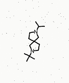 CC(C)N1CCC2(CCN(C(C)(C)C)C2)C1